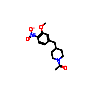 COc1cc(CC2CCN(C(C)=O)CC2)ccc1[N+](=O)[O-]